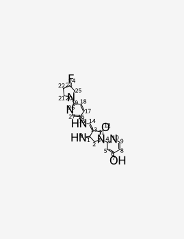 N=C1CN(c2cc(O)ccn2)C(=O)/C1=C/Nc1ccc(N2CC[C@H](F)C2)nc1